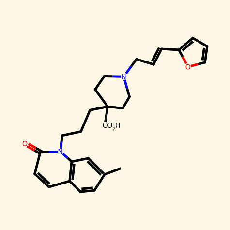 Cc1ccc2ccc(=O)n(CCCC3(C(=O)O)CCN(C/C=C/c4ccco4)CC3)c2c1